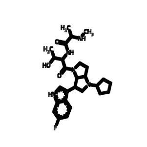 CNC(C)C(=O)NC(C(=O)N1CCC2C1C(c1c[nH]c3cc(F)ccc13)CN2C1CCCC1)C(C)O